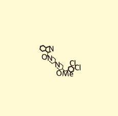 CO[C@@H]1CN(C2CCN(C(=O)c3cncc4ccccc34)CC2)CCC1Cc1ccc(Cl)c(Cl)c1